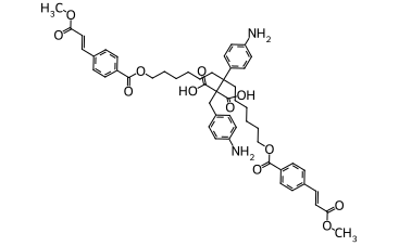 COC(=O)C=Cc1ccc(C(=O)OCCCCCCC(CCCCCCOC(=O)c2ccc(C=CC(=O)OC)cc2)(c2ccc(N)cc2)C(Cc2ccc(N)cc2)(C(=O)O)C(=O)O)cc1